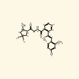 C/C(=C\c1ccc(Cl)cc1C)c1cnccc1C(=O)NCC(=O)N1CC(F)(F)C[C@H]1C#N